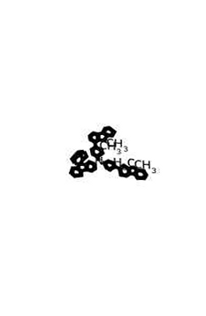 CC1(C)c2ccccc2-c2ccc(-c3ccc(N(c4ccc(-c5cccc6c5C(C)(C)c5ccccc5-6)cc4)c4ccc5c(c4)C4(c6ccccc6-5)C5CC6CC(C5)CC4C6)cc3)cc21